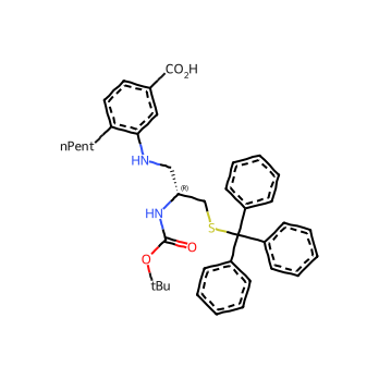 CCCCCc1ccc(C(=O)O)cc1NC[C@H](CSC(c1ccccc1)(c1ccccc1)c1ccccc1)NC(=O)OC(C)(C)C